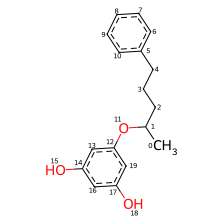 CC(CCCc1ccccc1)Oc1cc(O)cc(O)c1